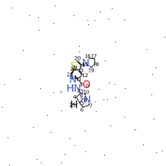 O=C(N[C@@H]1C[C@@H]2CCN(C2)C1)c1cc2c(N3CCCC3)csc2cn1